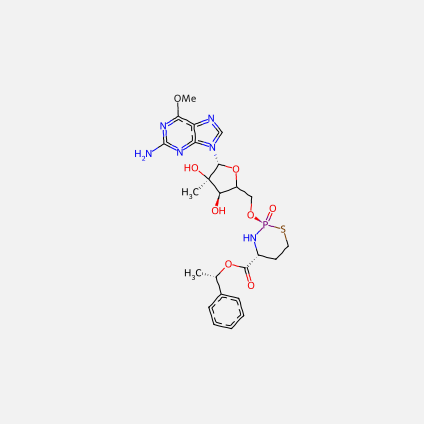 COc1nc(N)nc2c1ncn2[C@@H]1OC(CO[P@]2(=O)N[C@@H](C(=O)O[C@@H](C)c3ccccc3)CCS2)[C@@H](O)[C@@]1(C)O